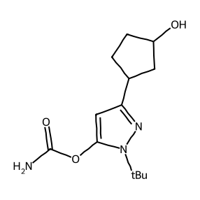 CC(C)(C)n1nc(C2CCC(O)C2)cc1OC(N)=O